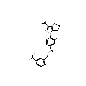 CNC(=O)c1nn(-c2ccc(C(=O)NCc3cc(C(=N)N)ccc3O)cc2C(F)(F)F)c2c1CCC2